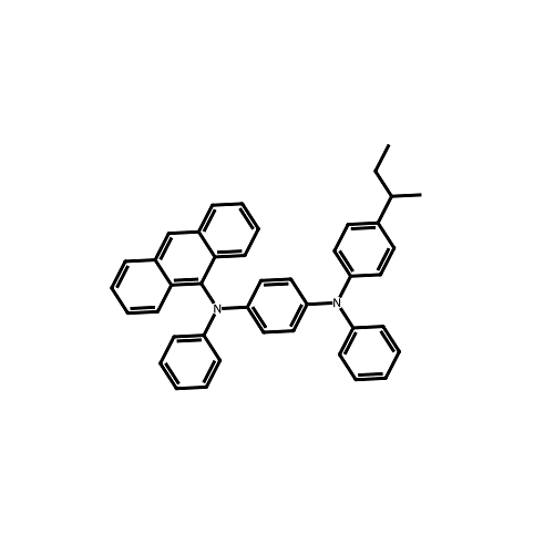 CCC(C)c1ccc(N(c2ccccc2)c2ccc(N(c3ccccc3)c3c4ccccc4cc4ccccc34)cc2)cc1